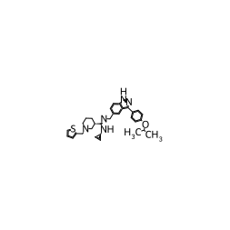 CC(C)Oc1ccc(-c2n[nH]c3ccc(C/N=C(\NC4=C=C4)[C@@H]4CCCN(Cc5cccs5)C4)cc23)cc1